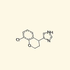 Clc1cccc2c1OCCC2c1c[nH]cn1